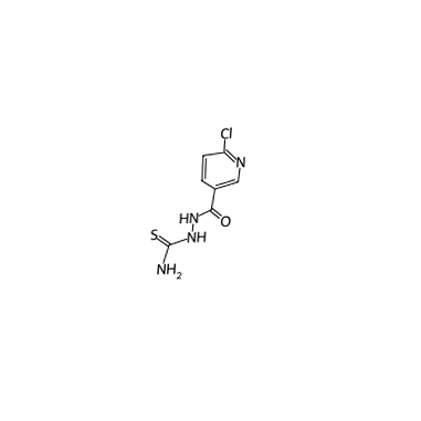 NC(=S)NNC(=O)c1ccc(Cl)nc1